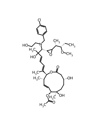 CC[C@H](OC)[C@@H](C)C1O[C@@H]1C(N(CCO)Cc1ccc(Cl)cc1)C(C)(O)/C=C/C=C(\C)[C@H]1OC(=O)C[C@H](O)CC[C@@](C)(O)[C@@H](OC(C)=O)/C=C/[C@@H]1C